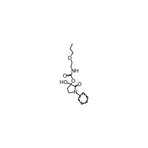 CCCOCCNC(=O)O[C@@]1(O)CCN(c2ccccc2)C1=O